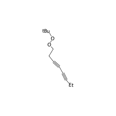 CCC#CC#CCCOOC(C)(C)C